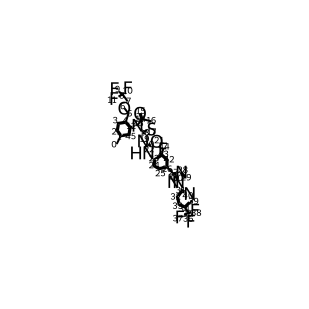 Cc1ccc(COCC(F)(F)F)c(N2C(=O)CS/C2=N\C(=O)Nc2ccc(-c3ncn(-c4ccc(C(F)(F)F)cn4)n3)cc2F)c1